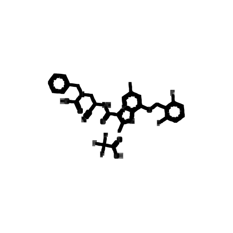 Cc1cc(OCc2c(F)cccc2F)c2nc(C)c(C(=O)NC(C#N)CN(Cc3ccccc3)C(=O)O)n2c1.O=C(O)C(F)(F)F